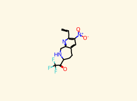 C=Cc1nc2c(cc1[N+](=O)[O-])CCC(C(=O)C(F)(F)F)NC2